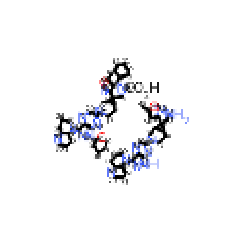 Cc1cc(C2(CN(Cc3ccccc3)C(=O)O)C3CCN(c4cnc5c(N6CCCc7ncccc76)nn(C6CCCCO6)c5n4)CC32)no1.Cc1cc(C2(CN)C3CCN(c4cnc5c(N6CCCc7ncccc76)n[nH]c5n4)CC32)no1